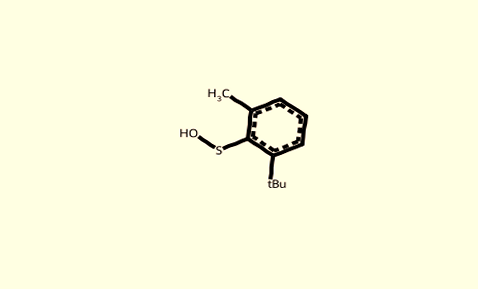 Cc1cccc(C(C)(C)C)c1SO